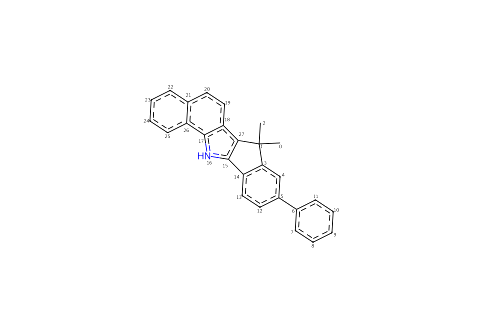 CC1(C)c2cc(-c3ccccc3)ccc2-c2[nH]c3c(ccc4ccccc43)c21